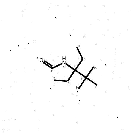 CCC(CC)(NC=O)C(C)(C)C